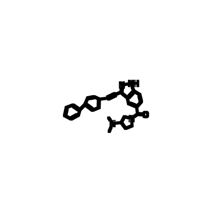 CN(C)C1CCN(C(=O)c2ccc3[nH]nc(C#Cc4ccc(-c5ccccc5)cc4)c3c2)C1